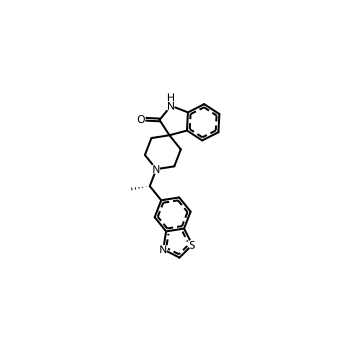 C[C@@H](c1ccc2scnc2c1)N1CCC2(CC1)C(=O)Nc1ccccc12